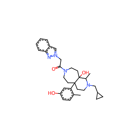 Cc1ccc(O)cc1C12CCN(C(=O)Cn3cc4ccccc4n3)CCC1(O)C(C)N(CC1CC1)CC2